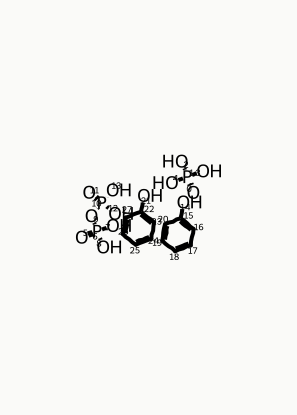 O=P(O)(O)O.O=P(O)(O)OP(=O)(O)O.Oc1ccccc1.Oc1ccccc1